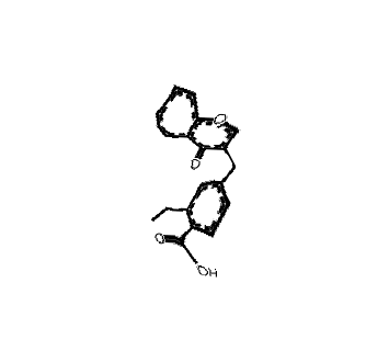 CCc1cc(Cc2coc3ccccc3c2=O)ccc1C(=O)O